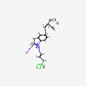 CC(Cc1ccc2c(c1)CC(I)N2CCCCl)[N+](=O)[O-]